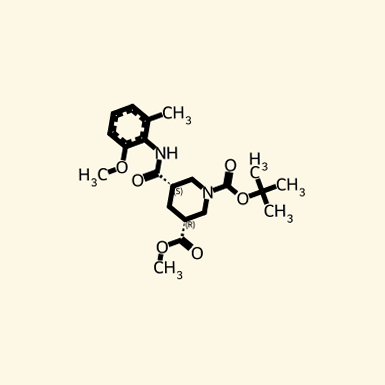 COC(=O)[C@@H]1C[C@H](C(=O)Nc2c(C)cccc2OC)CN(C(=O)OC(C)(C)C)C1